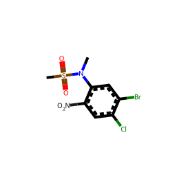 CN(c1cc(Br)c(Cl)cc1[N+](=O)[O-])S(C)(=O)=O